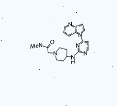 CNC(=O)CN1CCC(Nc2nccc(-n3ccc4ncccc43)n2)CC1